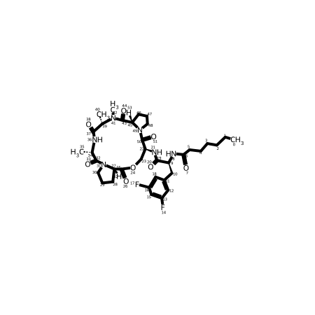 CCCCCCC(=O)N[C@@H](Cc1cc(F)cc(F)c1)C(=O)N[C@H]1COC(=O)[C@@H]2CCCN2C(=O)[C@H](C)NC(=O)[C@H](C)N(C)C(=O)[C@@H]2CCCN2C1=O